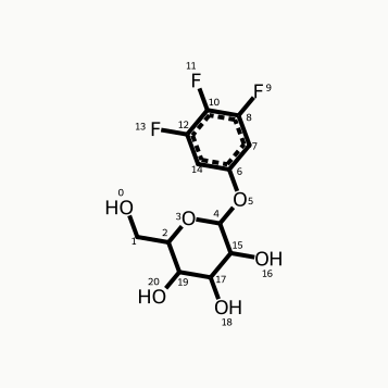 OCC1OC(Oc2cc(F)c(F)c(F)c2)C(O)C(O)C1O